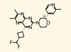 Cc1cc([C@H]2CN(c3nc4nc(C)c(C)nc4c([C@H]4C[C@H](C(F)F)C4)n3)CCO2)ccn1